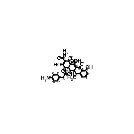 C[C@H]1c2cccc(O)c2C(=O)C2=C(O)[C@]3(O)C(=O)C(C(N)=O)=C(O)C[C@@H]3[C@@H](OC(=O)Cc3ccc(N)cc3)[C@@H]21